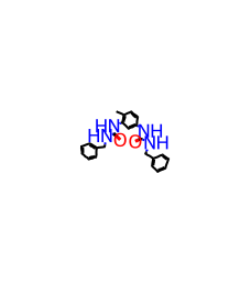 Cc1ccc(NC(=O)NCc2ccccc2)cc1NC(=O)NCc1ccccc1